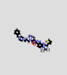 CCC(CC)n1c(Cc2cccs2)nc2cc(C(=O)N[C@@H](CC(C)C)C(=O)NCCCN3CCN(Cc4ccccc4)CC3)ccc21